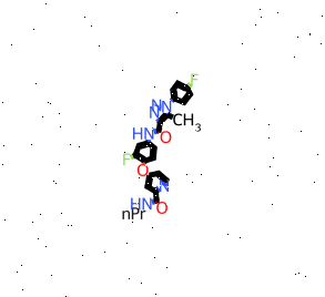 CCCNC(=O)c1cc(Oc2ccc(NC(=O)c3nnn(-c4ccc(F)cc4)c3C)cc2F)ccn1